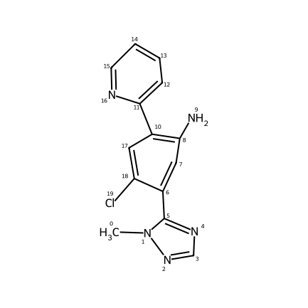 Cn1ncnc1-c1cc(N)c(-c2ccccn2)cc1Cl